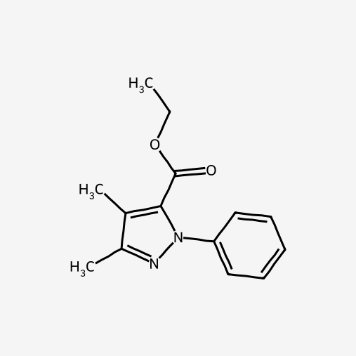 CCOC(=O)c1c(C)c(C)nn1-c1ccccc1